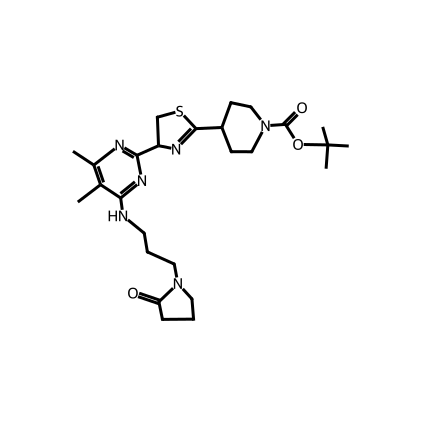 Cc1nc(C2CSC(C3CCN(C(=O)OC(C)(C)C)CC3)=N2)nc(NCCCN2CCCC2=O)c1C